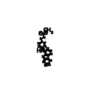 COC(=O)CCc1ccc(Nc2cccc3c2Cc2ccccc2-3)cc1